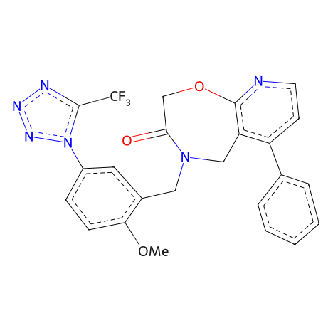 COc1ccc(-n2nnnc2C(F)(F)F)cc1CN1Cc2c(-c3ccccc3)ccnc2OCC1=O